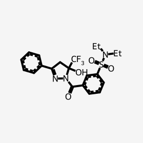 CCN(CC)S(=O)(=O)c1cccc(C(=O)N2N=C(c3ccccc3)CC2(O)C(F)(F)F)c1